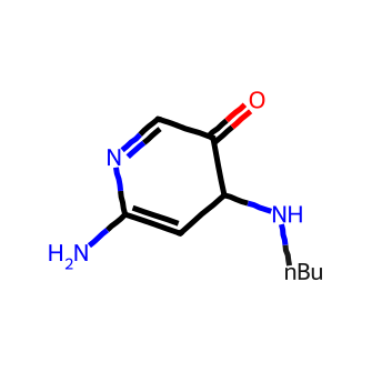 CCCCNC1C=C(N)N=CC1=O